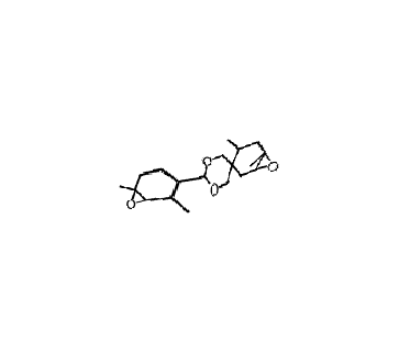 CC1C(C2OCC3(CO2)CC2OC2(C)CC3C)CCC2(C)OC12